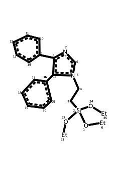 CCO[Si](CCn1cnc(-c2ccccc2)c1-c1ccccc1)(OCC)OCC